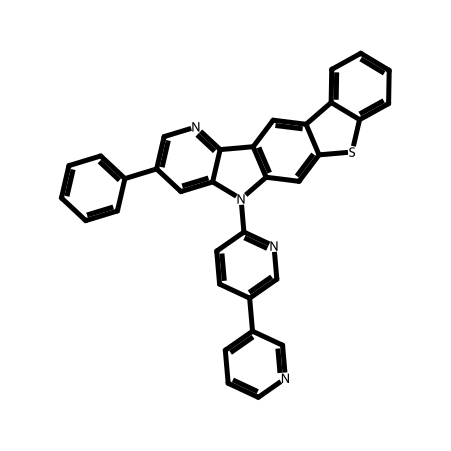 c1ccc(-c2cnc3c4cc5c(cc4n(-c4ccc(-c6cccnc6)cn4)c3c2)sc2ccccc25)cc1